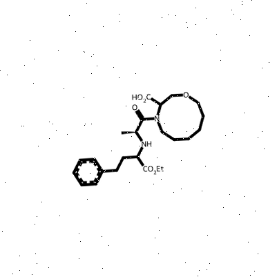 CCOC(=O)C(CCc1ccccc1)N[C@@H](C)C(=O)N1CCCCCCOCC1C(=O)O